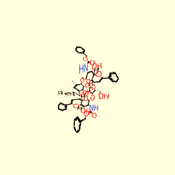 CN[C@@H]1C[C@H](C)[C@@H](O[C@H]2O[C@@H]3CCC(c4ccccc4)O[C@H]3[C@H](O)[C@H]2NC(=O)OCc2ccccc2)[C@H](O[C@@H]2O[C@H](CO)[C@@H](O[C@H]3O[C@H]4CCC(c5ccccc5)O[C@H]4[C@H](O)[C@H]3NC(=O)OCc3ccccc3)[C@H]2O)[C@H]1O